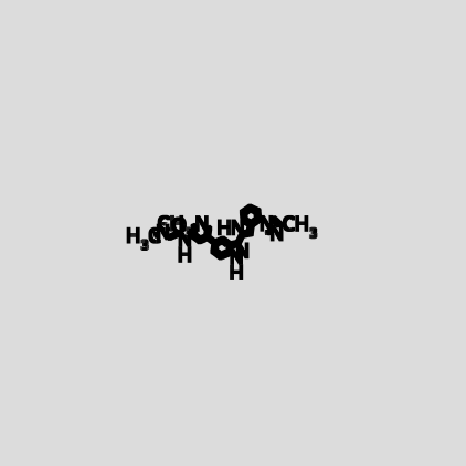 Cc1cn(-c2cccc3[nH]c(-c4n[nH]c5ccc(-c6cncc(NC(=O)CN(C)C)c6)cc45)cc23)cn1